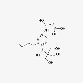 CCCCc1ccccc1C(O)C(CO)(CO)CO.OP(O)OP(O)O